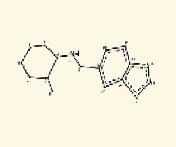 CC1CCCCC1NCc1ccc2scnc2c1